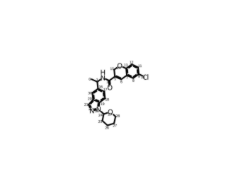 CC(NC(=O)C1=Cc2cc(Cl)ccc2OC1)c1ccc2c(cnn2C2CCCCO2)c1